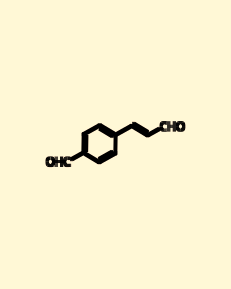 O=CC=Cc1ccc(C=O)cc1